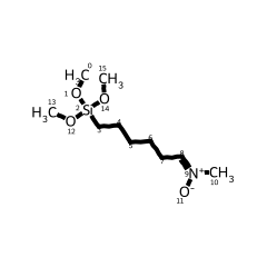 CO[Si](CCCCC/C=[N+](/C)[O-])(OC)OC